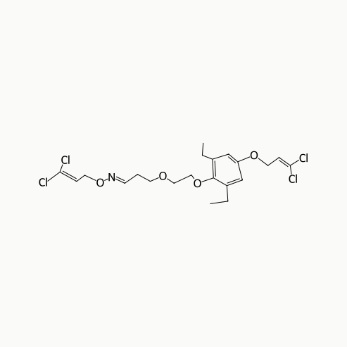 CCc1cc(OCC=C(Cl)Cl)cc(CC)c1OCCOCCC=NOCC=C(Cl)Cl